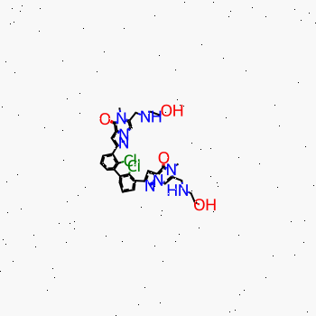 Cn1c(CNCCO)cn2nc(-c3cccc(-c4cccc(-c5cc6c(=O)n(C)c(CNCCO)cn6n5)c4Cl)c3Cl)cc2c1=O